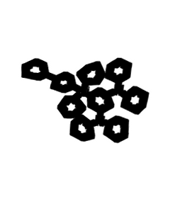 c1ccc(-c2ccc([Si](c3ccccc3)(c3ccccc3)c3cc(N(c4ccccc4)c4ccccc4)cc(N(c4ccccc4)c4ccccc4)c3)cc2)cc1